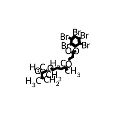 C=C(C)C(=O)C(C)(C)OCCCC(C)(C)OCCC(=O)Oc1c(Br)c(Br)c(Br)c(Br)c1Br